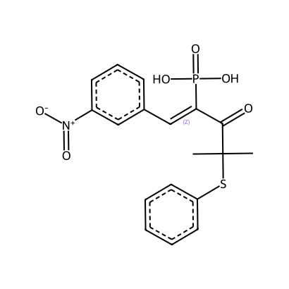 CC(C)(Sc1ccccc1)C(=O)/C(=C/c1cccc([N+](=O)[O-])c1)P(=O)(O)O